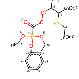 CCCCCCCCCCCSC(CCCCCCCC)C(C)OOC(=O)P(=O)(OCCC)OCc1ccccc1